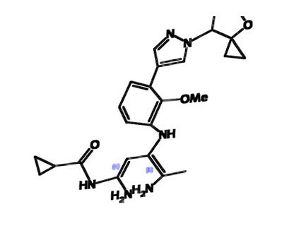 COc1c(NC(/C=C(\N)NC(=O)C2CC2)=C(\C)N)cccc1-c1cnn(C2CCOC23CC3)c1